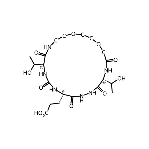 CC(O)[C@@H]1NC(=O)N[C@@H](CCC(=O)O)C(=O)NNC(=O)[C@@H](C(C)O)NC(=O)COCCOCCNC1=O